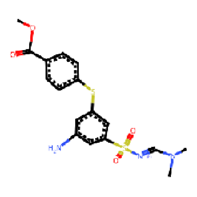 COC(=O)c1ccc(Sc2cc(N)cc(S(=O)(=O)/N=C/N(C)C)c2)cc1